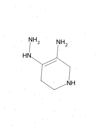 NNC1=C(N)CNCC1